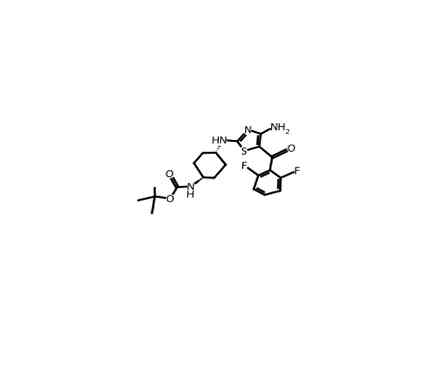 CC(C)(C)OC(=O)N[C@H]1CC[C@H](Nc2nc(N)c(C(=O)c3c(F)cccc3F)s2)CC1